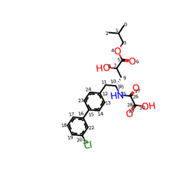 CC(C)COC(=O)C(O)C[C@@H](Cc1ccc(-c2cccc(Cl)c2)cc1)NC(=O)C(=O)O